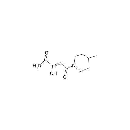 CC1CCN(C(=O)/C=C(\O)C(N)=O)CC1